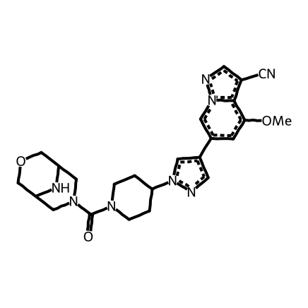 COc1cc(-c2cnn(C3CCN(C(=O)N4CC5COCC(C4)N5)CC3)c2)cn2ncc(C#N)c12